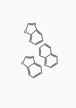 c1ccc2ccccc2c1.c1ccc2ocnc2c1.c1ccc2ocnc2c1